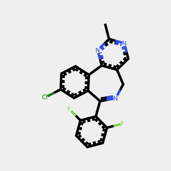 Cc1ncc2c(n1)-c1ccc(Cl)cc1C(c1c(F)cccc1F)=NC2